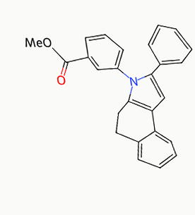 COC(=O)c1cccc(-n2c(-c3ccccc3)cc3c2CCc2ccccc2-3)c1